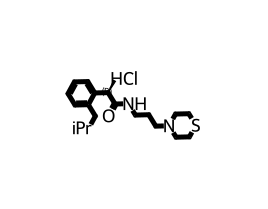 CC(C)Cc1ccccc1[C@@H](C)C(=O)NCCCN1CCSCC1.Cl